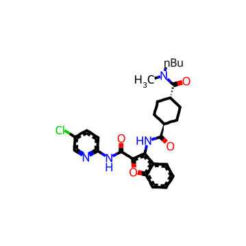 CCCCN(C)C(=O)[C@H]1CC[C@H](C(=O)Nc2c(C(=O)Nc3ccc(Cl)cn3)oc3ccccc23)CC1